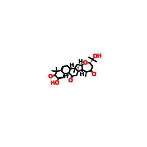 C[C@@H]1C(=O)C[C@@H](C(C)(C)O)O[C@@H]2C[C@@]3(C)[C@@H]4CC=C5[C@@H](C=C(O)C(=O)C5(C)C)[C@]4(C)C(=O)C[C@]3(C)[C@@H]12